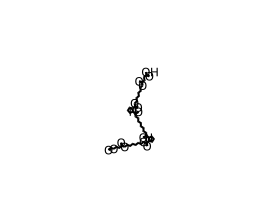 O=COCCC(=O)OCCCCCCOC(=O)C1CCCN1C(=O)CCCCCCCCC(=O)N1CCCC1C(=O)OCCCCCCOC(=O)CCC(=O)O